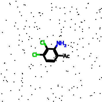 CC(=O)c1ccc(Cl)c(Cl)c1N